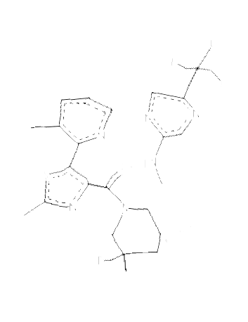 Cc1nc(C(=O)N2CC(F)(F)C[C@@H](C)[C@H]2CNc2cnc(C(F)(F)F)cn2)c(-c2ncccc2C)s1